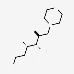 O=C(CN1CCOCC1)[C@@H](O)[C@H](O)[C@H](O)CO